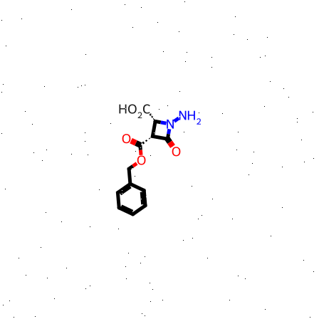 NN1C(=O)[C@H](C(=O)OCc2ccccc2)[C@@H]1C(=O)O